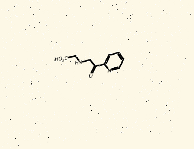 O=C(O)CNCC(=O)c1ccccn1